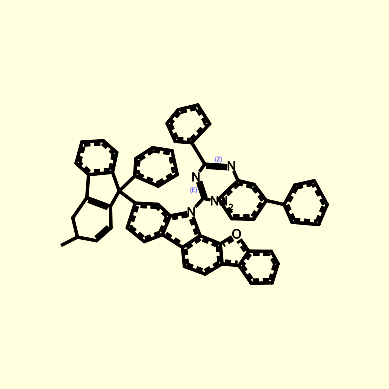 CC1C=CC2=C(C1)c1ccccc1C2(c1ccccc1)c1ccc2c3ccc4c5ccccc5oc4c3n(/C(N)=N/C(=N\c3cccc(-c4ccccc4)c3)c3ccccc3)c2c1